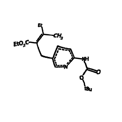 CCOC(=O)C(Cc1ccc(NC(=O)OC(C)(C)C)nc1)=C(C)CC